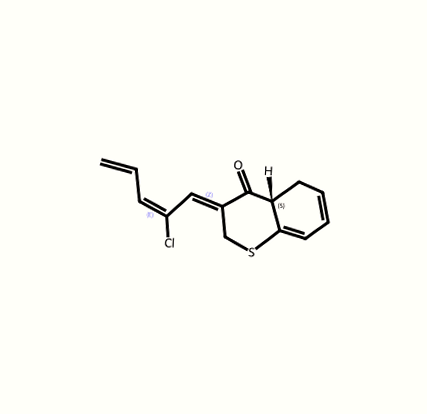 C=C/C=C(Cl)\C=C1/CSC2=CC=CC[C@H]2C1=O